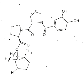 CC12CC[C@@H](CC1OC(=O)[C@H]1CCCN1C(=O)C1CSCN1C(=O)c1ccc(O)c(O)c1)C2(C)C